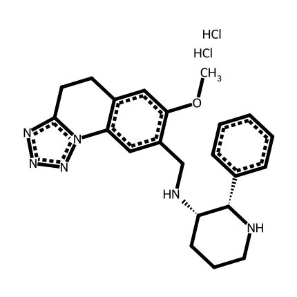 COc1cc2c(cc1CN[C@H]1CCCN[C@H]1c1ccccc1)-n1nnnc1CC2.Cl.Cl